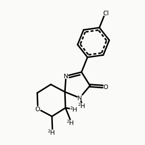 [2H]C1OCCC2(N=C(c3ccc(Cl)cc3)C(=O)N2[2H])C1([2H])[2H]